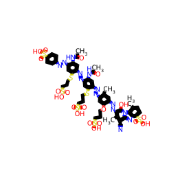 CC(=O)Nc1cc(N=Nc2cc(SCCCS(=O)(=O)O)c(N=Nc3cc(OCCCS(=O)(=O)O)c(N=Nc4c(C)c(C#N)c5nc6c(S(=O)(=O)O)ccc(C)c6n5c4O)cc3C)cc2NC(C)=O)c(SCCCS(=O)(=O)O)cc1N=Nc1ccc(S(=O)(=O)O)cc1